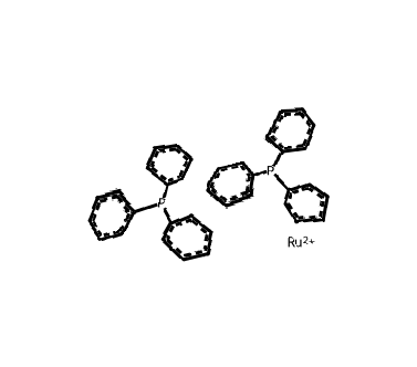 [Ru+2].c1ccc(P(c2ccccc2)c2ccccc2)cc1.c1ccc(P(c2ccccc2)c2ccccc2)cc1